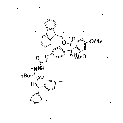 CCCC[C@H](NNC(=O)COc1ccc(C(N)(C(=O)OCC2c3ccccc3-c3ccccc32)c2ccc(OC)cc2OC)cc1)C(=O)NC(c1ccccc1)c1ccc(C)cc1